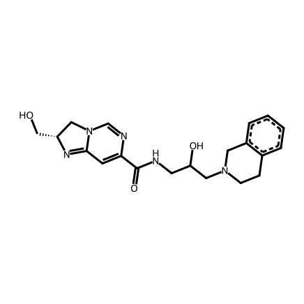 O=C(NCC(O)CN1CCc2ccccc2C1)C1=CC2=N[C@H](CO)CN2C=N1